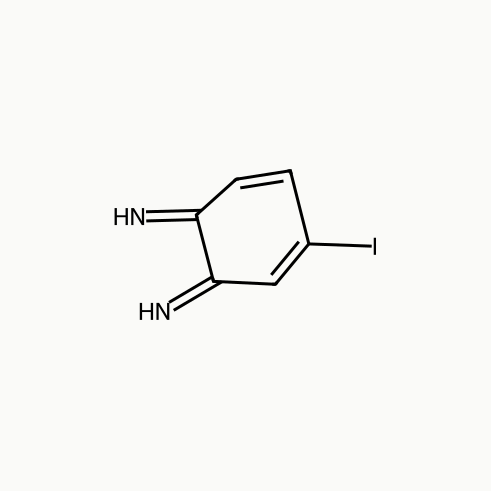 N=C1C=CC(I)=CC1=N